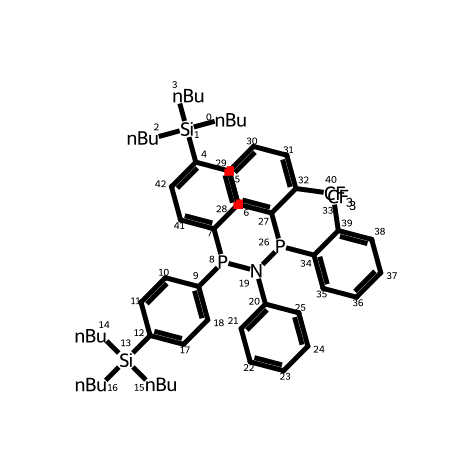 CCCC[Si](CCCC)(CCCC)c1ccc(P(c2ccc([Si](CCCC)(CCCC)CCCC)cc2)N(c2ccccc2)P(c2ccccc2C(F)(F)F)c2ccccc2C(F)(F)F)cc1